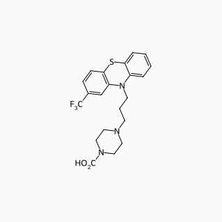 O=C(O)N1CCN(CCCN2c3ccccc3Sc3ccc(C(F)(F)F)cc32)CC1